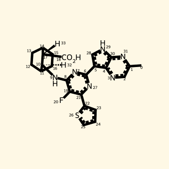 Cc1cnc2c(-c3nc(N[C@H]4C5CCC(CC5)[C@@H]4C(=O)O)c(F)c(-c4cccs4)n3)c[nH]c2n1